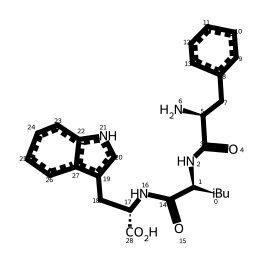 CC[C@H](C)[C@H](NC(=O)[C@@H](N)Cc1ccccc1)C(=O)N[C@@H](Cc1c[nH]c2ccccc12)C(=O)O